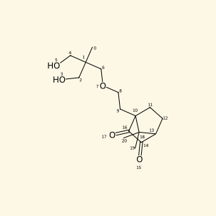 CC(CO)(CO)COCCC12CCC(C(=O)C1=O)C2(C)C